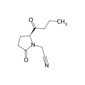 CCCC(=O)[C@@H]1CCC(=O)N1CC#N